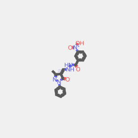 CC1=NN(c2ccccc2)C(=O)/C1=C\NNC(=O)c1cccc([N+](=O)O)c1